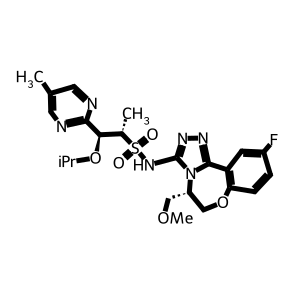 COC[C@H]1COc2ccc(F)cc2-c2nnc(NS(=O)(=O)[C@@H](C)[C@@H](OC(C)C)c3ncc(C)cn3)n21